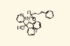 O=S(=O)(CCCc1ccccc1)N[C@H](c1ccccc1)C(O)(c1cccnc1)c1cccnc1